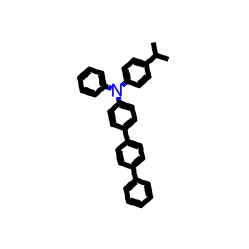 CC(C)c1ccc(N(c2ccccc2)c2ccc(-c3ccc(-c4ccccc4)cc3)cc2)cc1